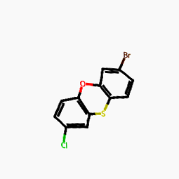 Clc1ccc2c(c1)Sc1ccc(Br)cc1O2